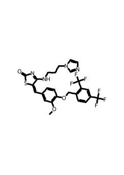 COc1cc(C=C2SC(=O)N=C2NCCCn2ccnc2)ccc1OCc1ccc(C(F)(F)F)cc1C(F)(F)F